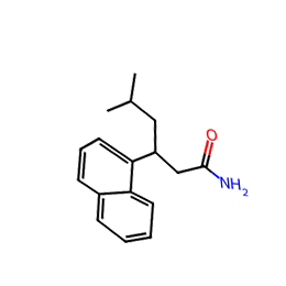 CC(C)CC(CC(N)=O)c1cccc2ccccc12